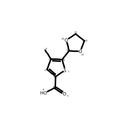 Cc1cc(C(=O)O)sc1C1OCCO1